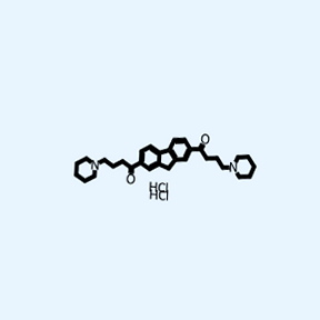 Cl.Cl.O=C(CCCN1CCCCC1)c1ccc2c(c1)Cc1cc(C(=O)CCCN3CCCCC3)ccc1-2